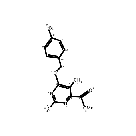 COC(=O)c1nc(C(F)(F)F)nc(OCc2ccc(C(C)(C)C)cc2)c1C